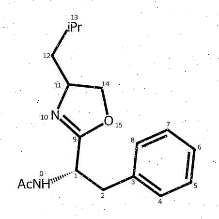 CC(=O)N[C@@H](Cc1ccccc1)C1=NC(CC(C)C)CO1